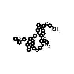 C=Cc1ccc(Oc2ccc(C3(c4ccc(F)cc4)c4ccccc4-c4ccc(N(c5ccc(-c6ccc(N(c7cccc(-c8cccc9c8oc8ccccc89)c7)c7ccc8c(c7)C(c7ccc(F)cc7)(c7ccc(Oc9ccc(C=C)cc9)cc7)c7ccccc7-8)cc6)cc5)c5cccc(-c6cccc7c6oc6ccccc67)c5)cc43)cc2)cc1